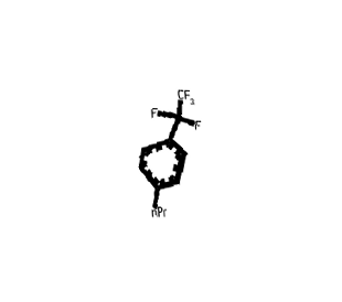 CCCc1ccc(C(F)(F)C(F)(F)F)cc1